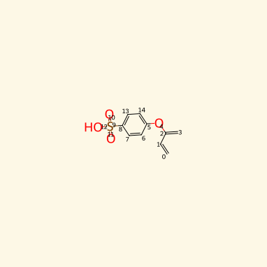 C=CC(=C)Oc1ccc(S(=O)(=O)O)cc1